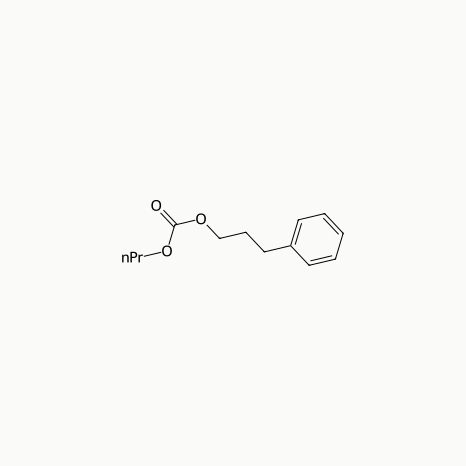 CCCOC(=O)OCCCc1ccccc1